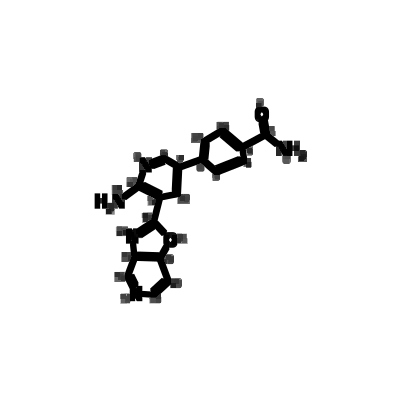 NC(=O)c1ccc(-c2cnc(N)c(-c3nc4cnccc4o3)c2)cc1